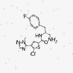 Cn1ncnc1-c1cc(C(=O)N[C@H](CN)Cc2ccc(F)cc2)sc1Cl